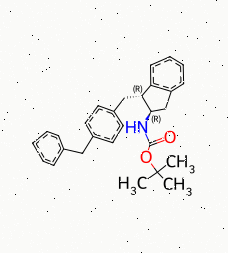 CC(C)(C)OC(=O)N[C@@H]1Cc2ccccc2[C@H]1Cc1ccc(Cc2ccccc2)cc1